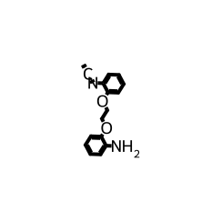 C=C=Nc1ccccc1OCCOc1ccccc1N